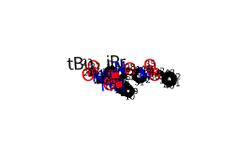 CC(C)c1cnn2c(NC3C4CCC3CN(C(=O)OC3CN(C(=O)OC(C)(C)C)C3)C4)cc(O[C@@H]3CCCN(C(=O)OCc4ccccc4)C3)nc12